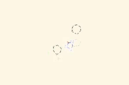 O=c1n(-c2ccc(F)c(O)c2)nc2n1[C@H](c1ccccc1)CC2